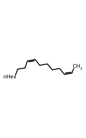 C/C=C\CCCC/C=C\CCCCCCCC